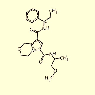 CC[C@@H](NC(=O)c1cc(C(=O)NC(C)COC)n2c1COCC2)c1ccccc1